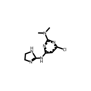 CN(C)c1nc(Cl)cc(NC2=NCCN2)n1